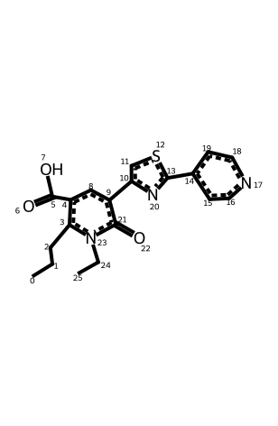 CCCc1c(C(=O)O)cc(-c2csc(-c3ccncc3)n2)c(=O)n1CC